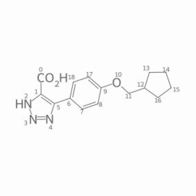 O=C(O)c1[nH]nnc1-c1ccc(OCC2CCCC2)cc1